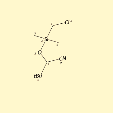 CC(C)(C)C(C#N)O[Si](C)(C)CCl